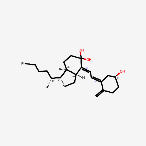 C=C1CC[C@H](O)C/C1=C\C=C1/[C@H]2CC[C@H]([C@H](C)CCCC(C)C)[C@@]2(C)CCC1(O)O